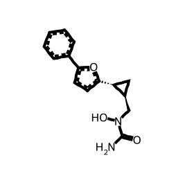 NC(=O)N(O)C[C@@H]1C[C@H]1c1ccc(-c2ccccc2)o1